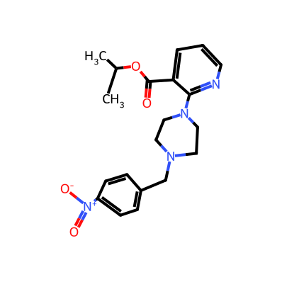 CC(C)OC(=O)c1cccnc1N1CCN(Cc2ccc([N+](=O)[O-])cc2)CC1